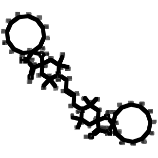 CC1(C)CC2(CC(C)(C)N1CC=CCN1C(C)(C)CC3(CC1(C)C)OC1(CCCCCCCCCCC1)NC3=O)OC1(CCCCCCCCCCC1)NC2=O